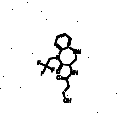 O=C(CCO)NC1CNc2ccccc2N(CC(F)(F)F)C1=O